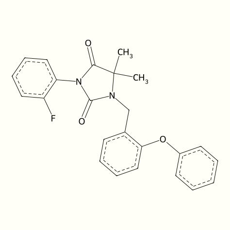 CC1(C)C(=O)N(c2ccccc2F)C(=O)N1Cc1ccccc1Oc1ccccc1